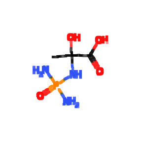 CC(O)(NP(N)(N)=O)C(=O)O